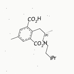 Cc1cc(C(=O)O)c(C[C@H](C)CCCC(C)C)c(C(=O)O)c1